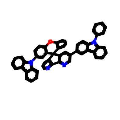 c1ccc(-n2c3ccccc3c3cc(-c4cnc5c(c4)C4(c6ccccc6Oc6ccc(-n7c8ccccc8c8ccccc87)cc64)c4cccnc4-5)ccc32)cc1